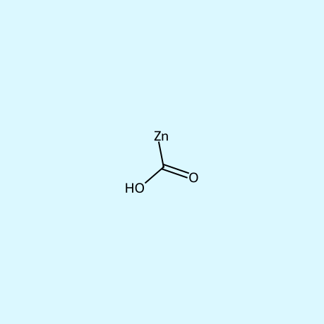 O=[C](O)[Zn]